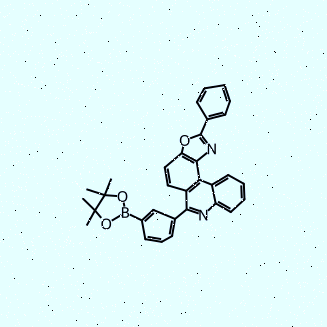 CC1(C)OB(c2cccc(-c3nc4ccccc4c4c3ccc3oc(-c5ccccc5)nc34)c2)OC1(C)C